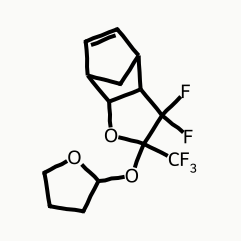 FC(F)(F)C1(OC2CCCO2)OC2C3C=CC(C3)C2C1(F)F